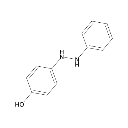 Oc1ccc(NNc2ccccc2)cc1